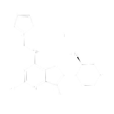 Cl.N[C@H]1CCCO[C@@H]1c1sc2c(NCc3cccs3)cc(Cl)nc2c1I